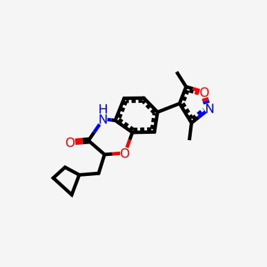 Cc1noc(C)c1-c1ccc2c(c1)OC(CC1CCC1)C(=O)N2